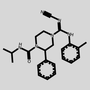 Cc1ccccc1N/C(=N/C#N)N1CCN(C(=O)NC(C)C)C(c2ccccc2)C1